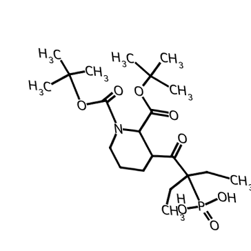 CCC(CC)(C(=O)C1CCCN(C(=O)OC(C)(C)C)C1C(=O)OC(C)(C)C)P(=O)(O)O